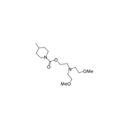 COCCN(CCOC)CCOC(=O)N1CCC(C)CC1